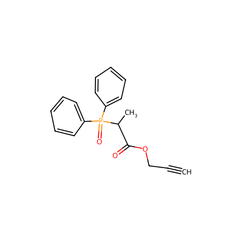 C#CCOC(=O)C(C)P(=O)(c1ccccc1)c1ccccc1